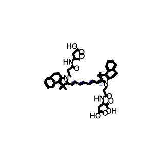 CC1(C)C(/C=C/C=C/C=C/C=C2/N(CCC(=O)NC(CC(=O)O)C(=O)O)c3ccc4ccccc4c3C2(C)C)=[N+](CCC(=O)NC(C=O)CC(=O)O)c2ccc3ccccc3c21